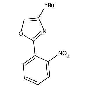 CCCCc1coc(-c2ccccc2[N+](=O)[O-])n1